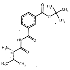 CC(C)[C@H](N)C(=O)NC(=O)c1cccc(C(=O)OC(C)(C)C)c1